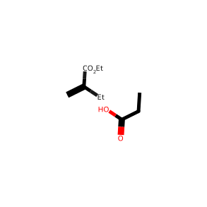 C=C(CC)C(=O)OCC.CCC(=O)O